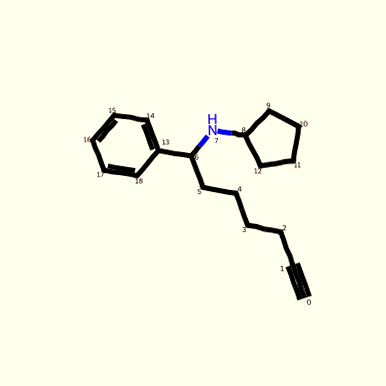 C#CCCCCC(NC1CCCC1)c1ccccc1